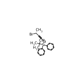 C[C@@H](Br)C#CO[Si](c1ccccc1)(c1ccccc1)C(C)(C)C